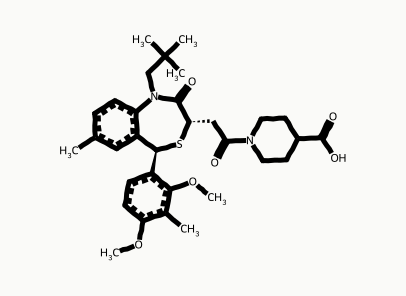 COc1ccc([C@@H]2S[C@@H](CC(=O)N3CCC(C(=O)O)CC3)C(=O)N(CC(C)(C)C)c3ccc(C)cc32)c(OC)c1C